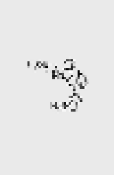 CN1CCC(C(Nc2cc(-c3ccc4ccn(C)c4c3)c3nccnc3c2)C2=CN=CCC2)CC1